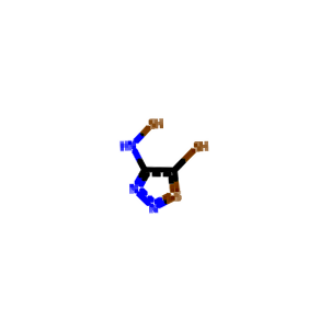 SNc1nnsc1S